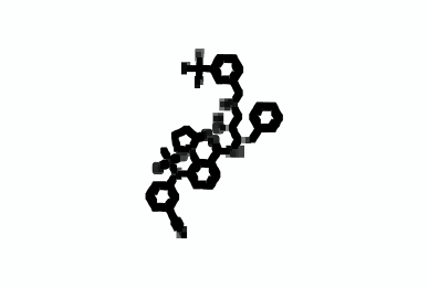 CS(=O)(=O)N(c1cccc(C#N)c1)c1cccc(C(=O)N[C@@H](Cc2ccccc2)[C@H](O)CNCc2cccc(C(F)(F)F)c2)c1N1CCCC1=O